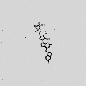 Cc1cc(N[C@@H]2CCc3cc(F)ccc32)c2cnn([C@@H]3O[C@H](COP(=O)(O)CP(=O)(O)O)[C@@H](O)[C@H]3O)c2n1